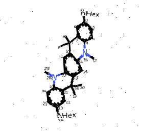 CCCCCCc1ccc2c(c1)C(C)(C)c1cc3c(cc1N2C)C(C)(C)c1cc(CCCCCC)ccc1N3C